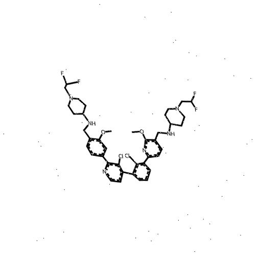 COc1cc(-c2nccc(-c3cccc(-c4ccc(CNC5CCN(CC(F)F)CC5)c(OC)n4)c3Cl)c2Cl)ccc1CNC1CCN(CC(F)F)CC1